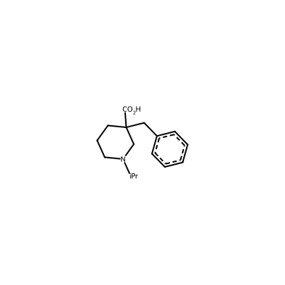 CC(C)N1CCCC(Cc2ccccc2)(C(=O)O)C1